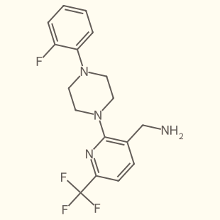 NCc1ccc(C(F)(F)F)nc1N1CCN(c2ccccc2F)CC1